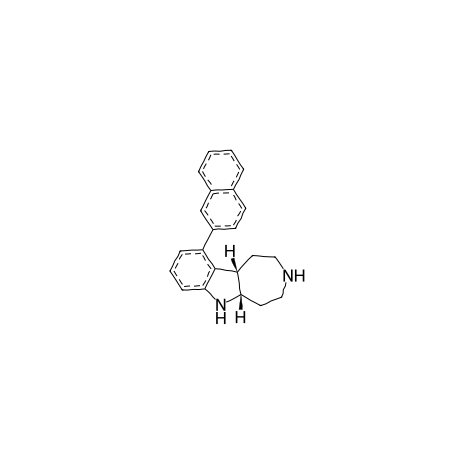 c1cc2c(c(-c3ccc4ccccc4c3)c1)[C@@H]1CCNCC[C@@H]1N2